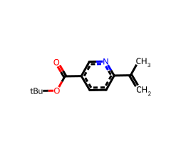 C=C(C)c1ccc(C(=O)OC(C)(C)C)cn1